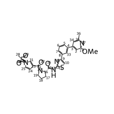 COc1cc(-c2cccc(-c3csc(NC(=O)[C@@H]4CCCN4C(=O)c4ccn(S(C)(=O)=O)c4)n3)c2)cc(C)n1